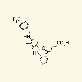 Cc1c(NCc2ccc(C(F)(F)F)cc2)ccc(C(=O)Nc2ccccc2OCCCC(=O)O)c1C